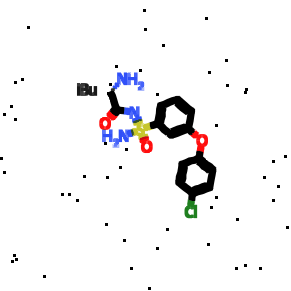 CC[C@H](C)[C@H](N)C(=O)N=S(N)(=O)c1cccc(Oc2ccc(Cl)cc2)c1